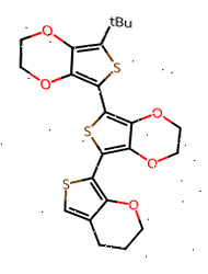 CC(C)(C)c1sc(-c2sc(-c3scc4c3OCCC4)c3c2OCCO3)c2c1OCCO2